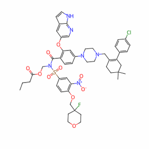 CCCC(=O)OCN(C(=O)c1ccc(N2CCN(CC3=C(c4ccc(Cl)cc4)CC(C)(C)CC3)CC2)cc1Oc1cnc2[nH]ccc2c1)S(=O)(=O)c1ccc(OCC2(F)CCOCC2)c([N+](=O)[O-])c1